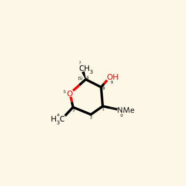 CNC1CC(C)O[C@@H](C)C1O